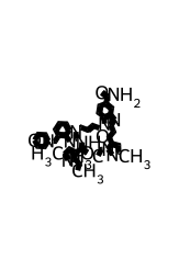 CCn1nc(C)cc1C(=O)Cc1nc2cc(C(N)=O)ccc2n1C/C=C/Cn1c(NC(=O)c2cc(C)nn2CC)nc2c(CN3CCOCC3)cccc21